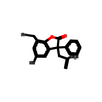 C=C(CC1(c2ccccc2)C(=O)Oc2c(CC(C)C)cc(C(C)(C)C)cc21)C(=O)O